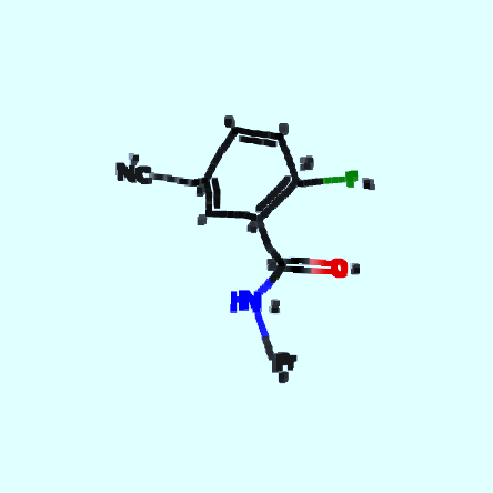 CC(C)NC(=O)c1cc(C#N)ccc1F